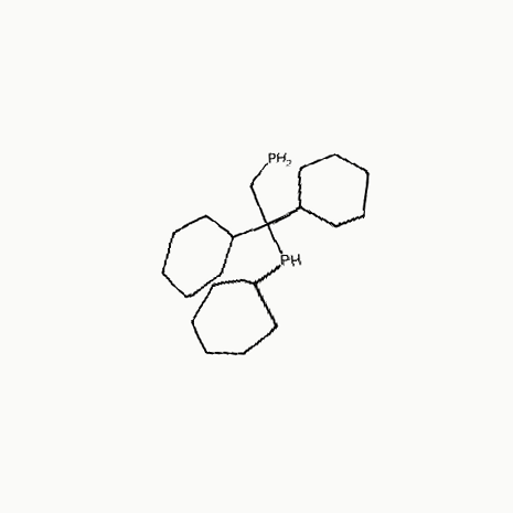 PCC(PC1CCCCC1)(C1CCCCC1)C1CCCCC1